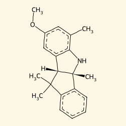 COc1cc(C)c2c(c1)[C@H]1C(C)(C)c3ccccc3[C@@]1(C)N2